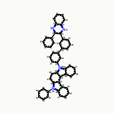 c1ccc(-c2nc3ccccc3nc2-c2cccc(-c3cccc(-n4c5ccccc5c5c6c7ccccc7n(-c7ccccc7)c6ccc54)c3)c2)cc1